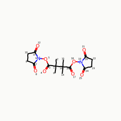 CC(C)(C(=O)ON1C(=O)CCC1=O)C(C)(C)C(=O)ON1C(=O)CCC1=O